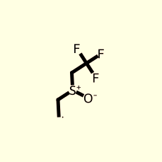 [CH2]C[S+]([O-])CC(F)(F)F